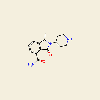 CC1c2cccc(C(N)=O)c2C(=O)N1C1CCNCC1